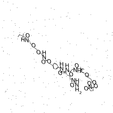 CCC(C)(C)C(=O)NCCOCCOCCNC(=O)OCc1ccc(NC(=O)[C@@H](CCCNC(N)=O)NC(=O)CNC(=O)C(C)(C)CCOCCC(=O)ON2C(=O)CCC2=O)cc1